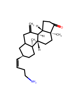 C=C1CC2C[C@H](/C=C\CCN)CC[C@]2(C)[C@H]2CC[C@]3(C)C(=O)CC[C@H]3[C@H]12